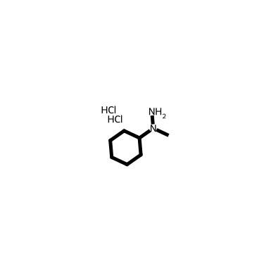 CN(N)C1CCCCC1.Cl.Cl